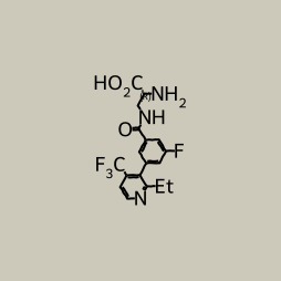 CCc1nccc(C(F)(F)F)c1-c1cc(F)cc(C(=O)NC[C@@H](N)C(=O)O)c1